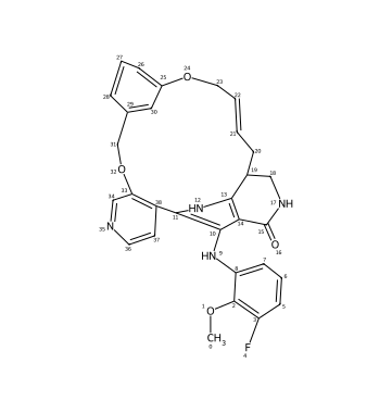 COc1c(F)cccc1Nc1c2[nH]c3c1C(=O)NCC3C/C=C/COc1cccc(c1)COc1cnccc1-2